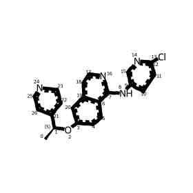 C[C@H](Oc1ccc2c(Nc3ccc(Cl)nc3)nccc2c1)c1ccncc1